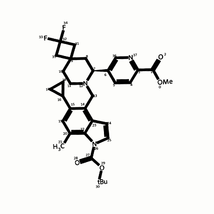 COC(=O)c1ccc([C@@H]2CC3(CCN2Cc2c(C4CC4)cc(C)c4c2ccn4C(=O)OC(C)(C)C)CC(F)(F)C3)cn1